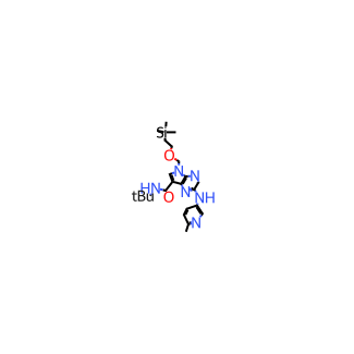 Cc1ccc(Nc2cnc3c(n2)c(C(=O)NC(C)(C)C)cn3COCC[Si](C)(C)C)cn1